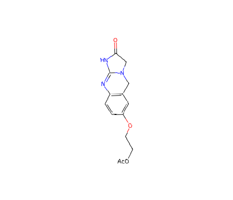 CC(=O)OCCOc1ccc2c(c1)CN1CC(=O)NC1=N2